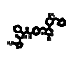 CCC(=O)NC(Cc1ccc(NC(=O)C(NC(=O)c2ccnn2C)C2CCCCC2)cc1)C(=O)N1CCN(C)C(Cc2ccccc2)C1